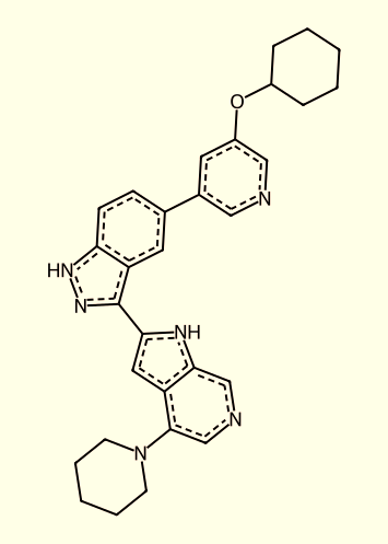 c1ncc(-c2ccc3[nH]nc(-c4cc5c(N6CCCCC6)cncc5[nH]4)c3c2)cc1OC1CCCCC1